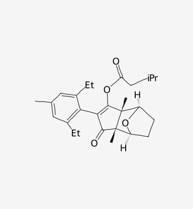 CCc1cc(C)cc(CC)c1C1=C(OC(=O)CC(C)C)[C@]2(C)[C@H]3CC[C@H](O3)[C@]2(C)C1=O